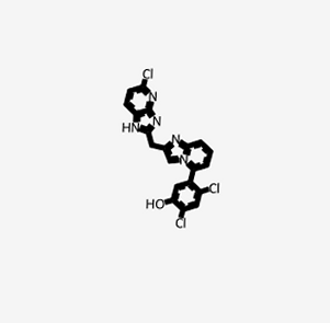 Oc1cc(-c2cccc3nc(Cc4nc5nc(Cl)ccc5[nH]4)cn23)c(Cl)cc1Cl